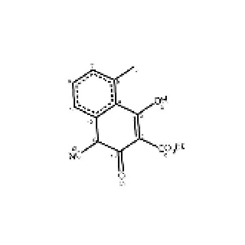 CCOC(=O)C1=C(O)c2c(C)cccc2C(C#N)C1=O